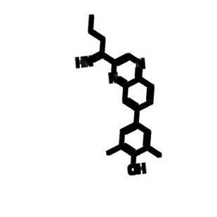 CCCC(=N)c1cnc2ccc(-c3cc(C)c(O)c(C)c3)cc2n1